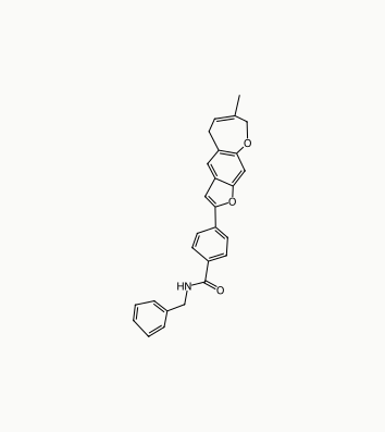 CC1=CCc2cc3cc(-c4ccc(C(=O)NCc5ccccc5)cc4)oc3cc2OC1